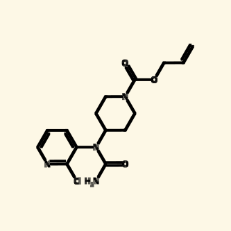 C=CCOC(=O)N1CCC(N(C(N)=O)c2cccnc2Cl)CC1